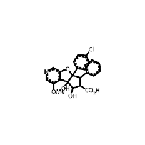 COc1cncc2c1C1(O)C(O)C(C(=O)O)C(c3ccccc3)C1(c1ccc(Cl)cc1)O2